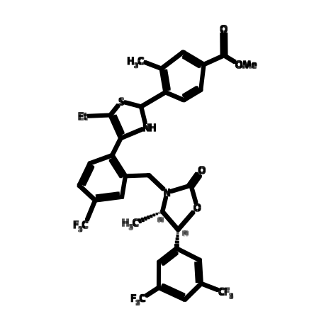 CCC1=C(c2ccc(C(F)(F)F)cc2CN2C(=O)O[C@H](c3cc(C(F)(F)F)cc(C(F)(F)F)c3)[C@@H]2C)NC(c2ccc(C(=O)OC)cc2C)S1